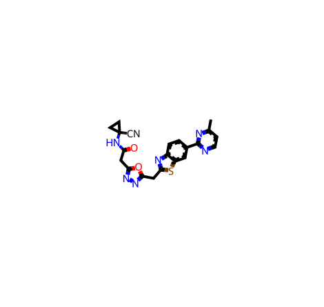 Cc1ccnc(-c2ccc3nc(Cc4nnc(CC(=O)NC5(C#N)CC5)o4)sc3c2)n1